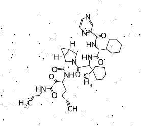 C#CCCC(NC(=O)[C@@H]1[C@H]2C[C@H]2CN1C(=O)[C@@H](NC(=O)[C@@H](NC(=O)c1cnccn1)C1CCCCC1)C1(C)CCCCC1)C(=O)C(=O)NCC=C